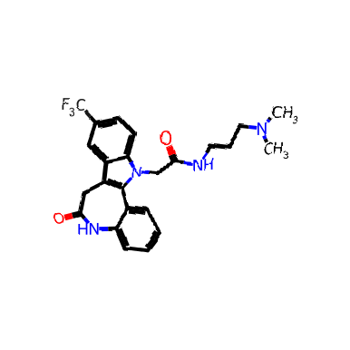 CN(C)CCCNC(=O)Cn1c2c(c3cc(C(F)(F)F)ccc31)CC(=O)Nc1ccccc1-2